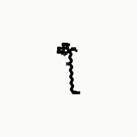 CCCCCCCCCCCCCCCCCCNCCCC(C)(C)O[Si](Cl)(OC)OC